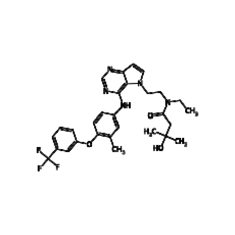 CCN(CCn1ccc2ncnc(Nc3ccc(Oc4cccc(C(F)(F)F)c4)c(C)c3)c21)C(=O)CC(C)(C)O